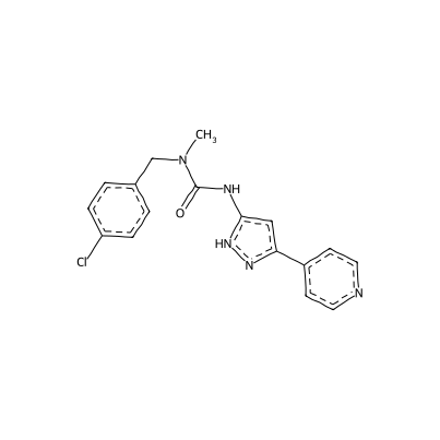 CN(Cc1ccc(Cl)cc1)C(=O)Nc1cc(-c2ccncc2)n[nH]1